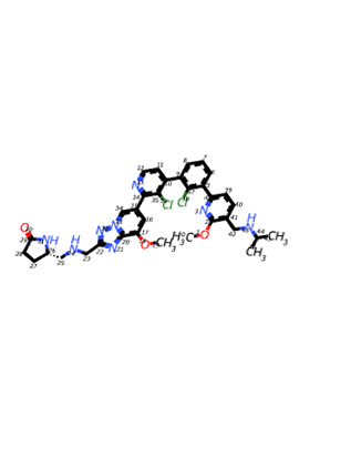 COc1nc(-c2cccc(-c3ccnc(-c4cc(OC)c5nc(CNC[C@@H]6CCC(=O)N6)nn5c4)c3Cl)c2Cl)ccc1CNC(C)C